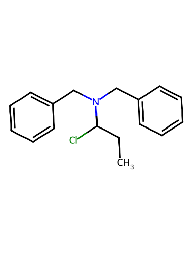 CCC(Cl)N(Cc1ccccc1)Cc1ccccc1